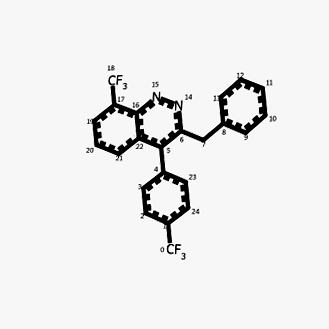 FC(F)(F)c1ccc(-c2c(Cc3ccccc3)nnc3c(C(F)(F)F)cccc23)cc1